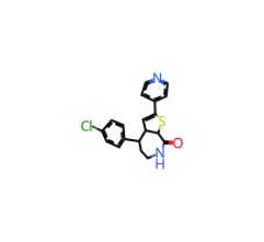 O=C1NCCC(c2ccc(Cl)cc2)C2C=C(c3ccncc3)SC12